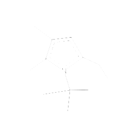 CCc1cc(C)c(C)n1C(C)(C)C